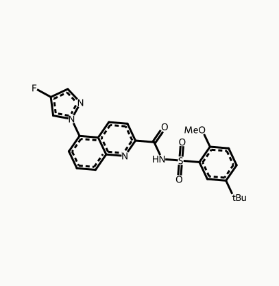 COc1ccc(C(C)(C)C)cc1S(=O)(=O)NC(=O)c1ccc2c(-n3cc(F)cn3)cccc2n1